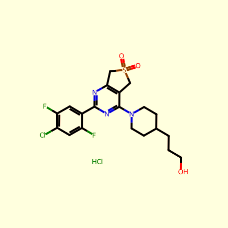 Cl.O=S1(=O)Cc2nc(-c3cc(F)c(Cl)cc3F)nc(N3CCC(CCCO)CC3)c2C1